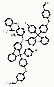 C=Cc1ccc(Oc2ccc(C3(c4ccc(F)cc4)c4ccccc4-c4ccc(N(c5ccc6c(c5)C(C)(C)c5ccccc5O6)c5ccc6c(c5)C(c5ccc(F)cc5)(c5ccc(Oc7ccc(C=C)cc7)cc5)c5ccccc5-6)cc43)cc2)cc1